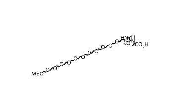 COCCOCCOCCOCCOCCOCCOCCOCCOCCOCCOCCOCCC(=O)NC(C)C(=O)NC(C)C(=O)O